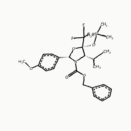 COc1ccc([C@@H]2O[C@@](O[Si](C)(C)C)(C(F)(F)F)[C@H](C(C)C)N2C(=O)OCc2ccccc2)cc1